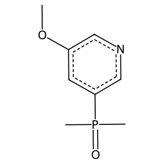 COc1cncc(P(C)(C)=O)c1